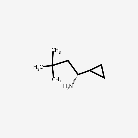 CC(C)(C)C[C@@H](N)C1CC1